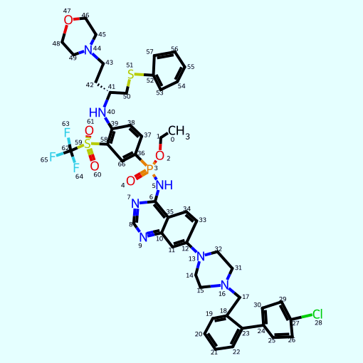 CCOP(=O)(Nc1ncnc2cc(N3CCN(Cc4ccccc4-c4ccc(Cl)cc4)CC3)ccc12)c1ccc(N[C@H](CCN2CCOCC2)CSc2ccccc2)c(S(=O)(=O)C(F)(F)F)c1